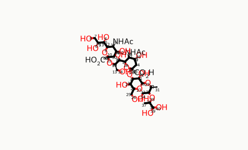 CC(=O)NC1C([C@H](O)[C@H](O)CO)O[C@@](O[C@H](CO)[C@@H](O)C2O[C@@](OC3C(O)C(CO)OC(O[C@@H](C)C(CO)OC(C)C(O)O)C3O)(C(=O)O)C[C@@H](O)C2NC(C)=O)(C(=O)O)C[C@H]1O